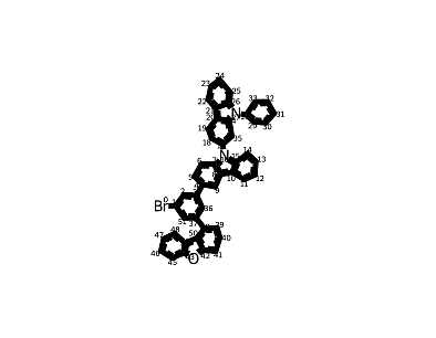 Brc1cc(-c2ccc3c(c2)c2ccccc2n3-c2ccc3c4ccccc4n(-c4ccccc4)c3c2)cc(-c2cccc3oc4ccccc4c23)c1